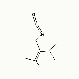 CC(C)=C(CN=C=O)C(C)C